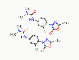 CN(C)C(=O)Nc1ccc(-n2nc(C(C)(C)C)oc2=O)c(Cl)c1.CN(C)C(=O)Nc1ccc(-n2nc(C(C)(C)C)oc2=O)c(Cl)c1